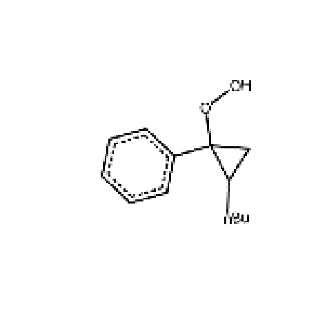 CCCCC1CC1(OO)c1ccccc1